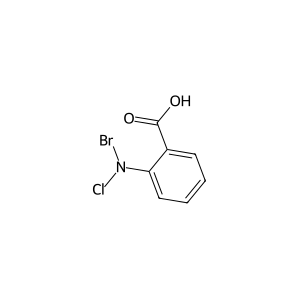 O=C(O)c1ccccc1N(Cl)Br